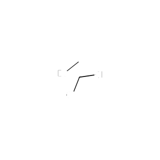 CCC.ClCCl